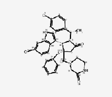 C[C@@H](c1ccc(Cl)cc1)N1C(=O)C[C@@](Sc2ccccc2)(C(=O)N2CCNC(=O)C2)[C@@H]1c1c[nH]c2cc(Cl)ccc12